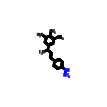 Cc1cc(C(/C=C/c2ccc(NN)cc2)C(F)(F)F)cc(C)c1C